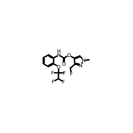 Cn1cc(OC(=O)Nc2ccccc2OC(F)(F)C(F)F)c(CF)n1